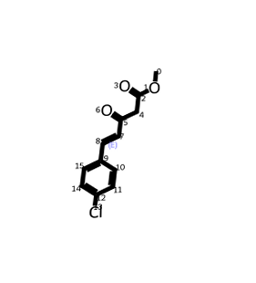 COC(=O)CC(=O)/C=C/c1ccc(Cl)cc1